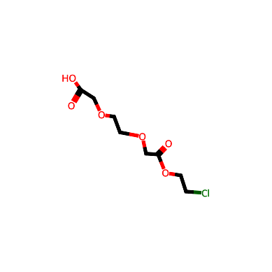 O=C(O)COCCOCC(=O)OCCCl